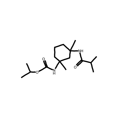 CC(C)OC(=O)NC1(C)CCCC(C)(NC(=O)C(C)C)C1